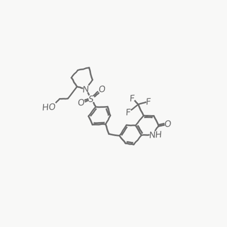 O=c1cc(C(F)(F)F)c2cc(Cc3ccc(S(=O)(=O)N4CCCCC4CCO)cc3)ccc2[nH]1